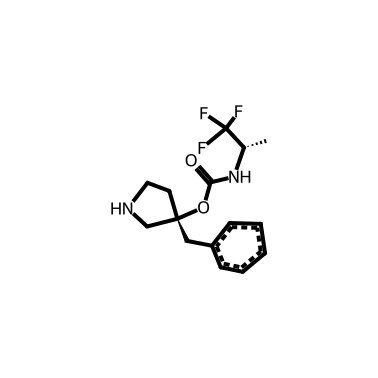 C[C@H](NC(=O)O[C@@]1(Cc2ccccc2)CCNC1)C(F)(F)F